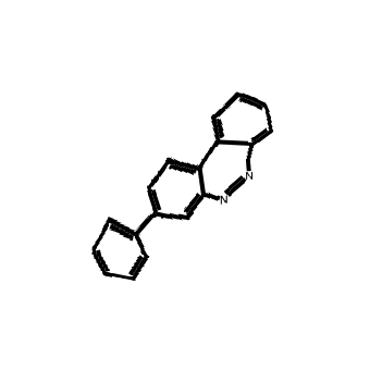 c1ccc(-c2ccc3c(c2)nnc2ccccc23)cc1